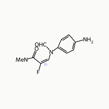 CNC(=O)/C(F)=C\N(C=O)c1ccc(N)cc1